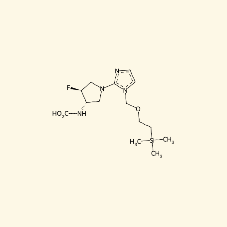 C[Si](C)(C)CCOCn1ccnc1N1C[C@H](NC(=O)O)[C@@H](F)C1